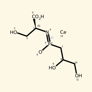 O=C(O)[C@H](CO)/N=[P+](\[O-])CC(O)CO.[Ca]